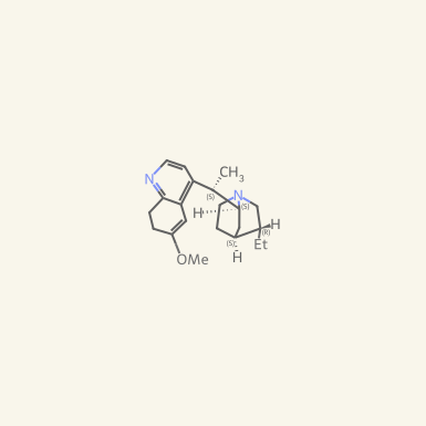 CC[C@H]1CN2CC[C@H]1C[C@H]2[C@@H](C)c1ccnc2c1C=C(OC)CC2